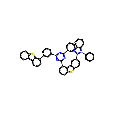 c1ccc(-c2nc(-c3cccc(-c4cccc5c4sc4ccccc45)c3)nc(-c3cccc4sc5ccc(-c6nc7ccccc7n6-c6ccccc6)cc5c34)n2)cc1